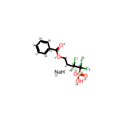 O=C(OCCC(F)(F)C(F)(F)S(=O)(=O)O)c1ccccc1.[NaH]